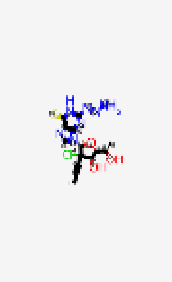 CC#C[C@@]1(Cl)C(O)[C@@H]([C@@H](C)O)O[C@H]1n1cnc2c(=S)[nH]c(N=NN)nc21